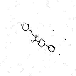 O=C(NCCN1CCOCC1)N1CCN(c2ccccc2)CC1